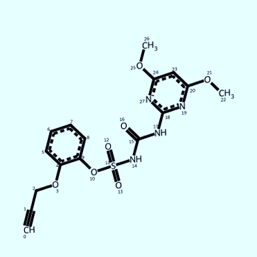 C#CCOc1ccccc1OS(=O)(=O)NC(=O)Nc1nc(OC)cc(OC)n1